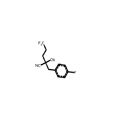 N#CC(C#N)(CCC(F)(F)F)Cc1ccc(F)cc1